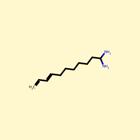 C=CC=CCCCCCCC(N)N